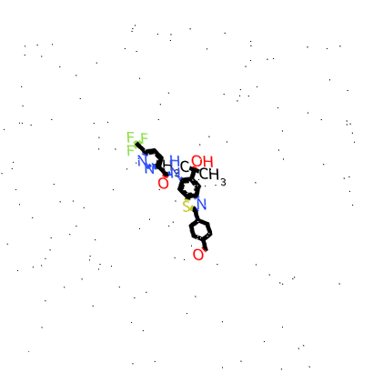 CC(C)(O)c1cc2nc(C3CCC(C=O)CC3)sc2cc1NC(=O)c1ccc(C(F)(F)F)nn1